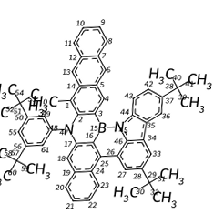 Cc1c2c(cc3cc4ccccc4cc13)B1c3c(cc4ccccc4c3-c3cc(C(C)(C)C)cc4c5cc(C(C)(C)C)ccc5n1c34)N2c1cc(C(C)(C)C)cc(C(C)(C)C)c1